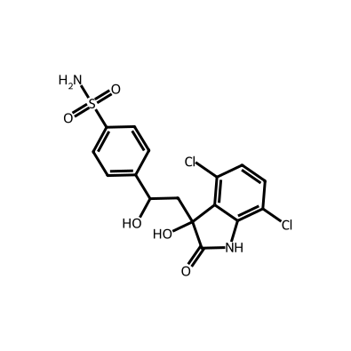 NS(=O)(=O)c1ccc(C(O)CC2(O)C(=O)Nc3c(Cl)ccc(Cl)c32)cc1